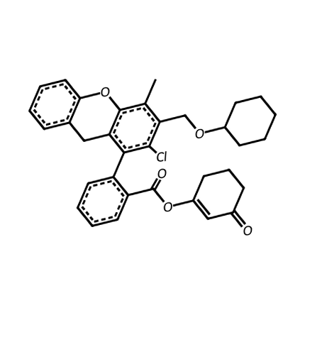 Cc1c(COC2CCCCC2)c(Cl)c(-c2ccccc2C(=O)OC2=CC(=O)CCC2)c2c1Oc1ccccc1C2